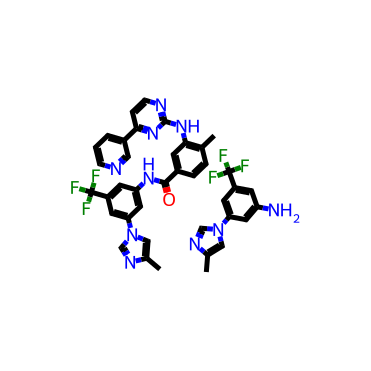 Cc1cn(-c2cc(N)cc(C(F)(F)F)c2)cn1.Cc1cn(-c2cc(NC(=O)c3ccc(C)c(Nc4nccc(-c5cccnc5)n4)c3)cc(C(F)(F)F)c2)cn1